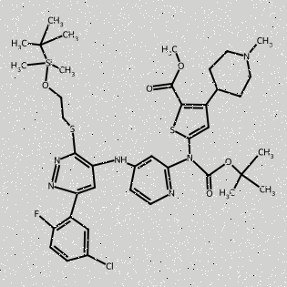 COC(=O)c1sc(N(C(=O)OC(C)(C)C)c2cc(Nc3cc(-c4cc(Cl)ccc4F)nnc3SCCO[Si](C)(C)C(C)(C)C)ccn2)cc1C1CCN(C)CC1